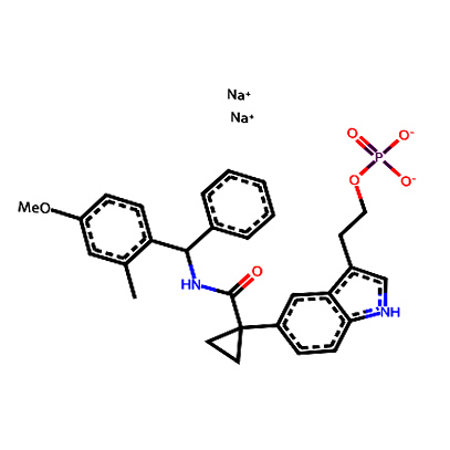 COc1ccc(C(NC(=O)C2(c3ccc4[nH]cc(CCOP(=O)([O-])[O-])c4c3)CC2)c2ccccc2)c(C)c1.[Na+].[Na+]